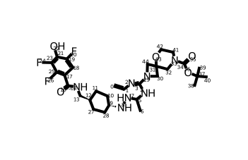 C=C/N=C(\NC(C)NN[C@H]1CC[C@H](CNC(=O)c2cc(F)c(O)c(F)c2F)CC1)N1CC2(CN(C(=O)OC(C)(C)C)CCO2)C1